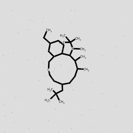 CCC1CCC2C(CCCCC(CC(C)(C)C)CCC(C)C(C)C2N(C)C(C)(C)C)C1